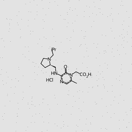 Cc1cnc(NC[C@H]2CCCN2CC(C)C)c(=O)n1CC(=O)O.Cl